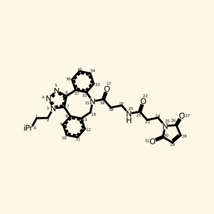 CC(C)CCn1nnc2c1-c1ccccc1CN(C(=O)CCNC(=O)CCN1C(=O)C=CC1=O)c1ccccc1-2